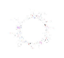 CCCC[C@H]1C(=O)N2C[C@H](O)C[C@@H]2C(=O)N[C@@H](CC(=O)O)C(=O)N[C@@H](C(C)C)C(=O)N(C)[C@@H](Cc2ccccc2)C(=O)N[C@@H](CC(=O)O)C(=O)N2C[C@H](O)C[C@H]2C(=O)N[C@@H](Cc2c[nH]c3ccccc23)C(=O)N[C@@H](Cc2ccc(O)cc2)C(=O)N[C@@H](CC(N)=O)C(=O)N[C@H](C(=O)NCC(N)=O)CSCC(=O)N[C@@H](Cc2cc(F)c(F)c(F)c2)C(=O)N(C)[C@@H](Cc2ccccc2)C(=O)N1C